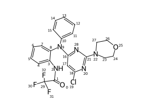 O=C(Nc1ccccc1N(c1ccccc1)c1cc(Cl)nc(N2CCOCC2)n1)C(F)(F)F